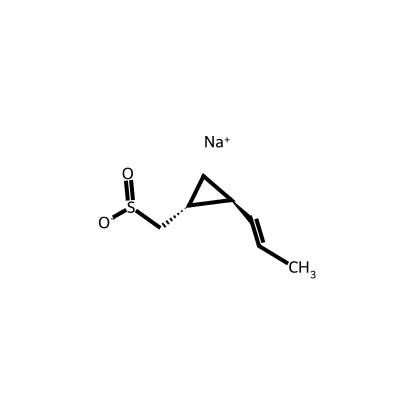 C/C=C/[C@@H]1C[C@H]1CS(=O)[O-].[Na+]